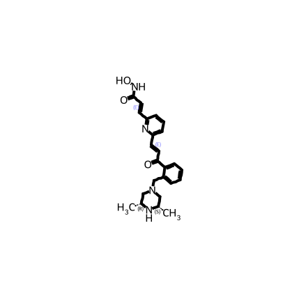 C[C@@H]1CN(Cc2ccccc2C(=O)/C=C/c2cccc(/C=C/C(=O)NO)n2)C[C@H](C)N1